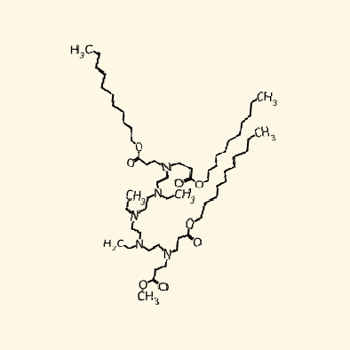 CCCCCCCCCCCOC(=O)CCN(CCC(=O)OC)CCN(CC)CCN(CC)CCN(CC)CCN(CCC(=O)OCCCCCCCCCCC)CCC(=O)OCCCCCCCCCCC